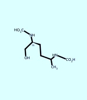 CC(CC[C@@H](CO)NC(=O)O)NC(=O)O